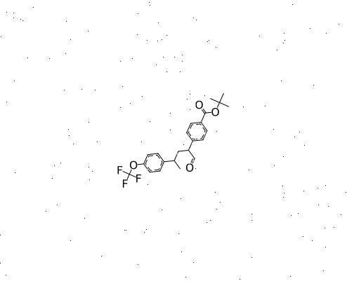 CC(CC(C=O)c1ccc(C(=O)OC(C)(C)C)cc1)c1ccc(OC(F)(F)F)cc1